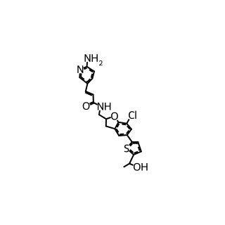 CC(O)c1ccc(-c2cc(Cl)c3c(c2)CC(CNC(=O)/C=C/c2ccc(N)nc2)O3)s1